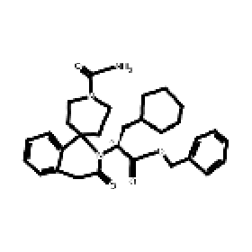 NC(=O)N1CCC2(CC1)c1ccccc1CC(=O)N2[C@@H](CC1CCCCC1)C(=O)OCc1ccccc1